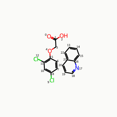 O=C(O)COc1ccc(Cl)cc1Cl.c1ccc2ncccc2c1